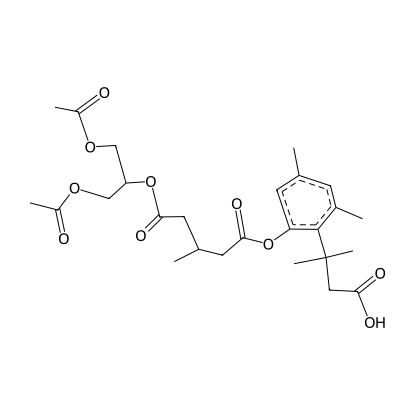 CC(=O)OCC(COC(C)=O)OC(=O)CC(C)CC(=O)Oc1cc(C)cc(C)c1C(C)(C)CC(=O)O